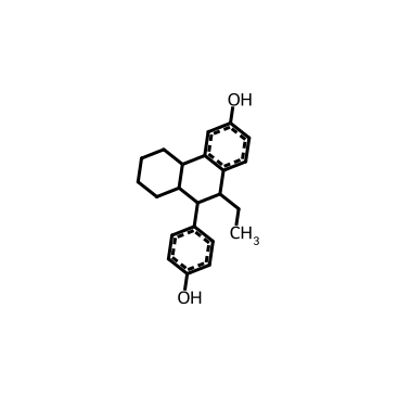 CCC1c2ccc(O)cc2C2CCCCC2C1c1ccc(O)cc1